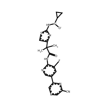 CC(C)(C(=O)Nc1ncc(-c2cncc(C#N)n2)cc1F)c1csc(N[S+]([O-])C2CC2)n1